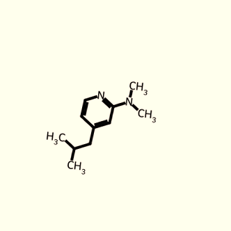 CC(C)Cc1ccnc(N(C)C)c1